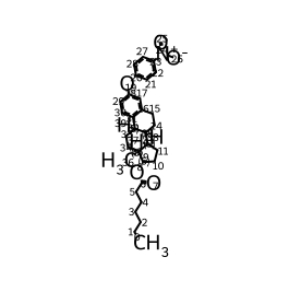 CCCCCCC(=O)O[C@H]1CC[C@H]2[C@@H]3CCc4cc(Oc5ccc([N+](=O)[O-])cc5)ccc4[C@H]3CC[C@]12C